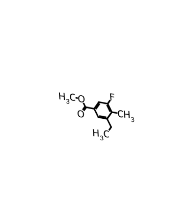 CCc1cc(C(=O)OC)cc(F)c1C